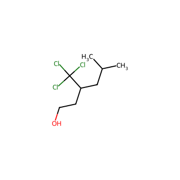 CC(C)CC(CCO)C(Cl)(Cl)Cl